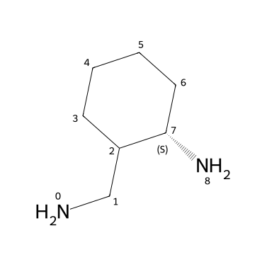 NCC1CCCC[C@@H]1N